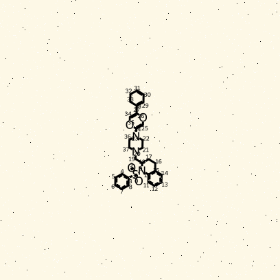 O=S(=O)(c1ccccc1)N1c2ccccc2CCC1CN1CCN(C2=COC(C3=CC=CCC3)=CO2)CC1